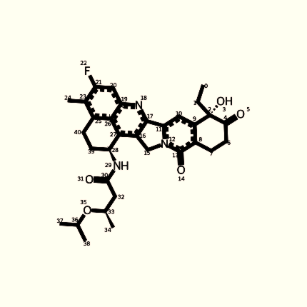 CC[C@@]1(O)C(=O)CCc2c1cc1n(c2=O)Cc2c-1nc1cc(F)c(C)c3c1c2[C@@H](NC(=O)C[C@@H](C)OC(C)C)CC3